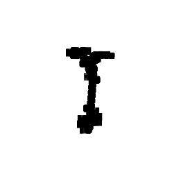 COc1ccc(C2[C@@H](CCC(O)c3ccc(F)cc3)C(=O)N2c2ccc(CNC(=O)CCCCCCCCCCC(=O)NC[C@H](O)[C@@H](O)C(O)[C@H](O)CO)cc2)cc1